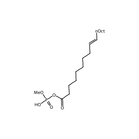 CCCCCCCCC=CCCCCCCCC(=O)OP(=O)(O)OC